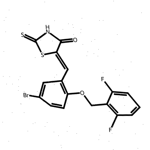 O=C1NC(=S)S/C1=C\c1cc(Br)ccc1OCc1c(F)cccc1F